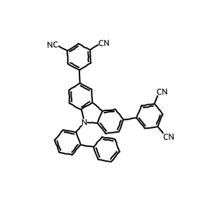 N#Cc1cc(C#N)cc(-c2ccc3c(c2)c2cc(-c4cc(C#N)cc(C#N)c4)ccc2n3-c2ccccc2-c2ccccc2)c1